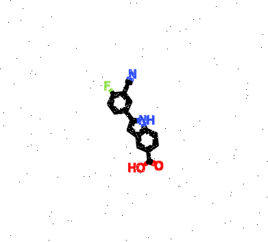 N#Cc1cc(-c2cc3cc(C(=O)O)ccc3[nH]2)ccc1F